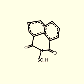 O=C1c2cccc3cccc(c23)C(=O)N1S(=O)(=O)O